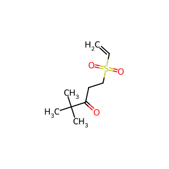 C=CS(=O)(=O)CCC(=O)C(C)(C)C